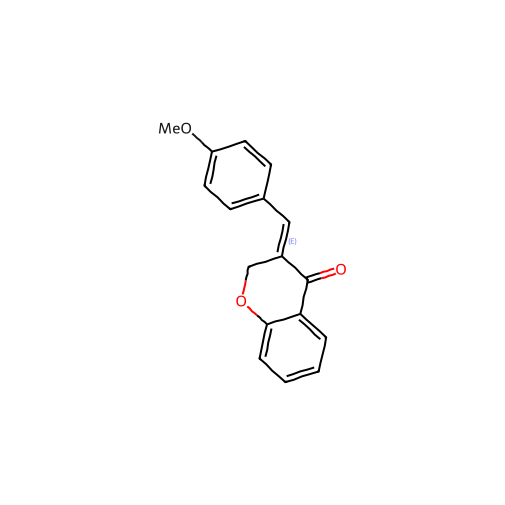 COc1ccc(/C=C2\COc3ccccc3C2=O)cc1